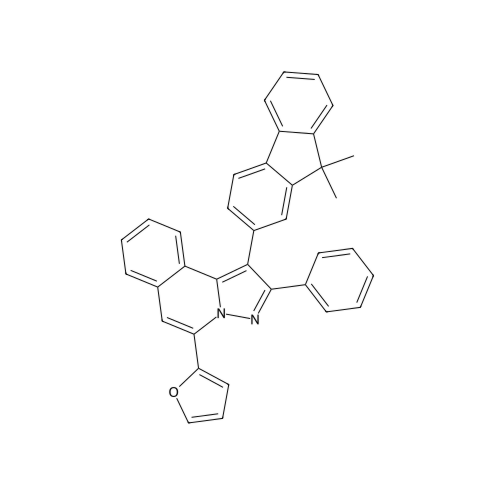 CC1(C)c2ccccc2-c2ccc(-c3c(-c4ccccc4)nn4c(-c5ccco5)cc5ccccc5c34)cc21